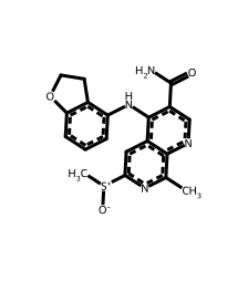 Cc1nc([S+](C)[O-])cc2c(Nc3cccc4c3CCO4)c(C(N)=O)cnc12